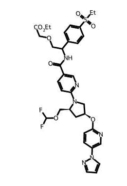 CCOC(=O)COCC(NC(=O)c1ccc(N2C[C@@H](Oc3ccc(-n4cccn4)cn3)C[C@H]2COC(F)F)nc1)c1ccc(S(=O)(=O)CC)cc1